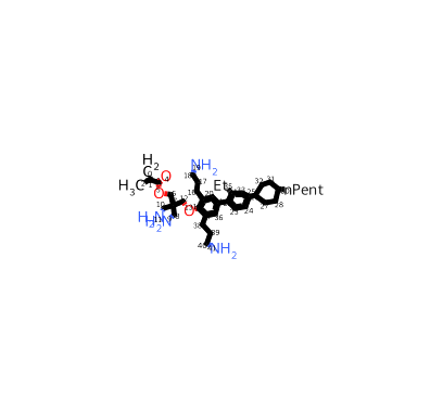 C=C(C)C(=O)OCC(CN)(CN)COc1c(CCCN)cc(-c2ccc(C3CCC(CCCCC)CC3)cc2CC)cc1CCCN